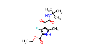 CCOC(=O)c1[nH]c(C)c(C(=O)C(=O)NC(C)(C)C)c1F